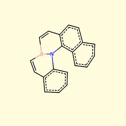 C1=Cc2ccccc2N2B1C=Cc1ccc3ccccc3c12